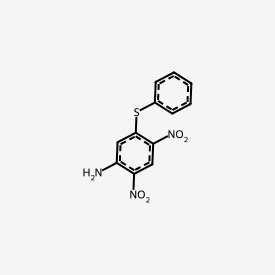 Nc1cc(Sc2ccccc2)c([N+](=O)[O-])cc1[N+](=O)[O-]